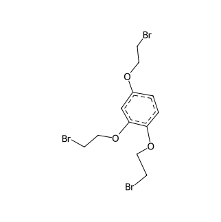 BrCCOc1ccc(OCCBr)c(OCCBr)c1